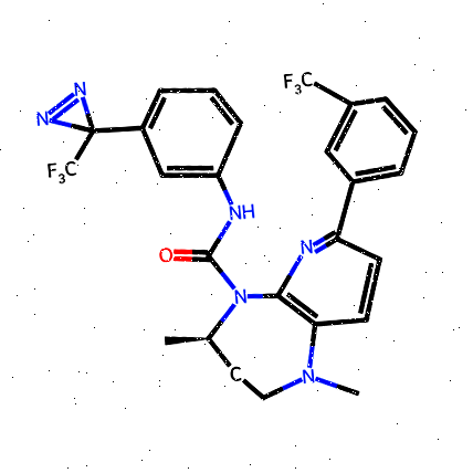 C[C@@H]1CCN(C)c2ccc(-c3cccc(C(F)(F)F)c3)nc2N1C(=O)Nc1cccc(C2(C(F)(F)F)N=N2)c1